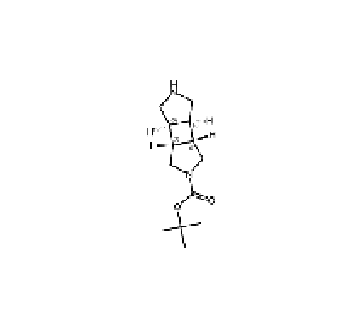 CC(C)(C)OC(=O)N1C[C@@H]2[C@H]3CNC[C@H]3[C@@H]2C1